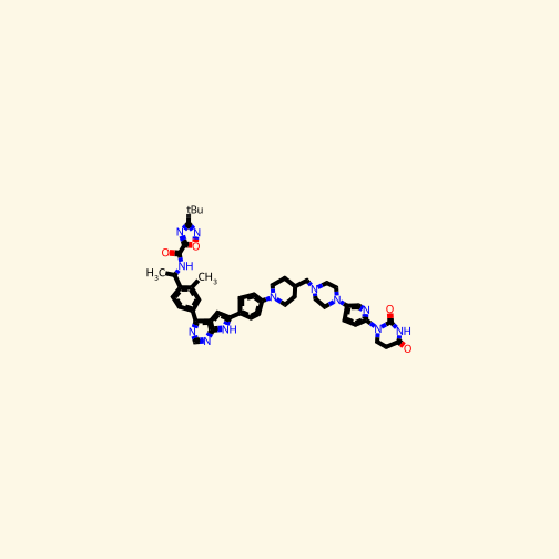 Cc1cc(-c2ncnc3[nH]c(-c4ccc(N5CCC(CN6CCN(c7ccc(N8CCC(=O)NC8=O)nc7)CC6)CC5)cc4)cc23)ccc1C(C)NC(=O)c1nc(C(C)(C)C)no1